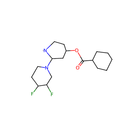 O=C(OC1CC[N]C(N2CCC(F)C(F)C2)C1)C1CCCCC1